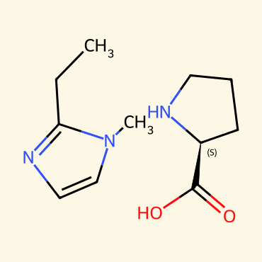 CCc1nccn1C.O=C(O)[C@@H]1CCCN1